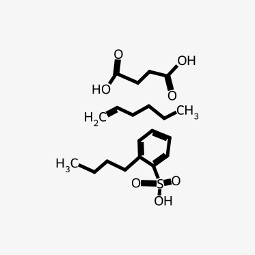 C=CCCCC.CCCCc1ccccc1S(=O)(=O)O.O=C(O)CCC(=O)O